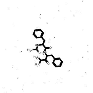 CC(C)NC(Cc1ccccc1)C(=O)NC(Cc1ccccc1)C(=O)C(C)C